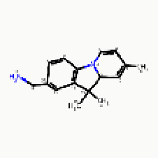 CC1=CC2N(C=C1)c1ccc(CN)cc1C2(C)C